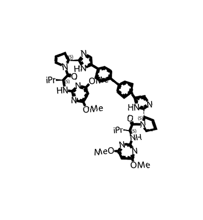 COc1cc(OC)nc(N[C@H](C(=O)N2CCC[C@H]2c2ncc(-c3ccc(-c4ccc(-c5cnc([C@@H]6CCCN6C(=O)[C@@H](Nc6nc(OC)cc(OC)n6)C(C)C)[nH]5)cc4)cc3)[nH]2)C(C)C)n1